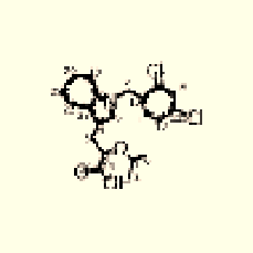 CC(C)OC(Cc1cn(Cc2ccc(Cl)cc2Cl)c2ccccc12)C(=O)O